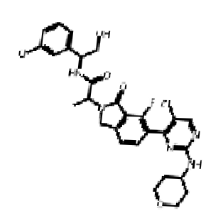 CC(C(=O)NC(CO)c1cccc(Cl)c1)N1Cc2ccc(-c3nc(NC4CCOCC4)ncc3Cl)c(F)c2C1=O